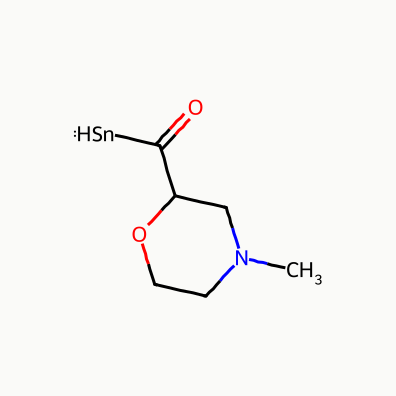 CN1CCOC([C](=O)[SnH])C1